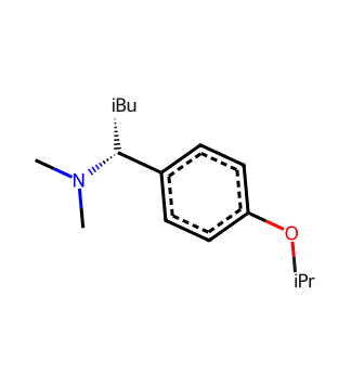 CC[C@@H](C)[C@H](c1ccc(OC(C)C)cc1)N(C)C